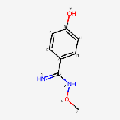 CONC(=N)c1ccc(O)cc1